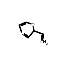 C=CC1C=NC=CO1